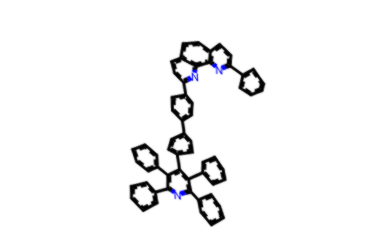 c1ccc(-c2ccc3ccc4ccc(-c5ccc(-c6ccc(-c7c(-c8ccccc8)c(-c8ccccc8)nc(-c8ccccc8)c7-c7ccccc7)cc6)cc5)nc4c3n2)cc1